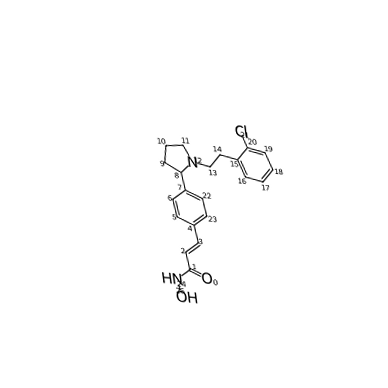 O=C(C=Cc1ccc(C2CCCN2CCc2ccccc2Cl)cc1)NO